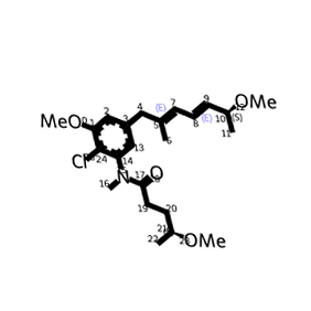 COc1cc(C/C(C)=C/C=C/[C@H](C)OC)cc(N(C)C(=O)CC[C@H](C)OC)c1Cl